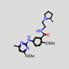 CNc1cc(C)nc(Nc2ccc(OC)c(C(=O)NCCN3CCC[C@H]3C)c2)n1